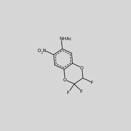 CC(=O)Nc1cc2c(cc1[N+](=O)[O-])OC(F)(F)C(F)O2